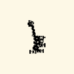 O=C1c2c(O)cc(OCCCCCC3CCOO3)cc2OC(c2ccc(O)c(O)c2)C1O